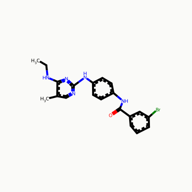 CCNc1nc(Nc2ccc(NC(=O)c3cccc(Br)c3)cc2)ncc1C